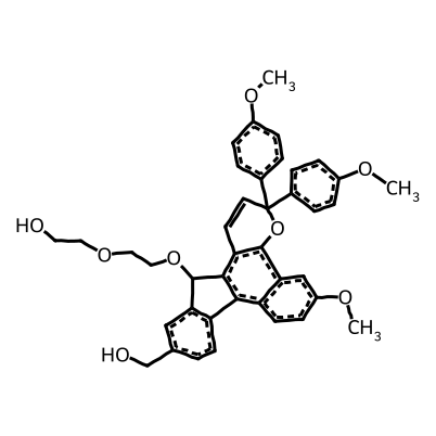 COc1ccc(C2(c3ccc(OC)cc3)C=Cc3c4c(c5ccc(OC)cc5c3O2)-c2ccc(CO)cc2C4OCCOCCO)cc1